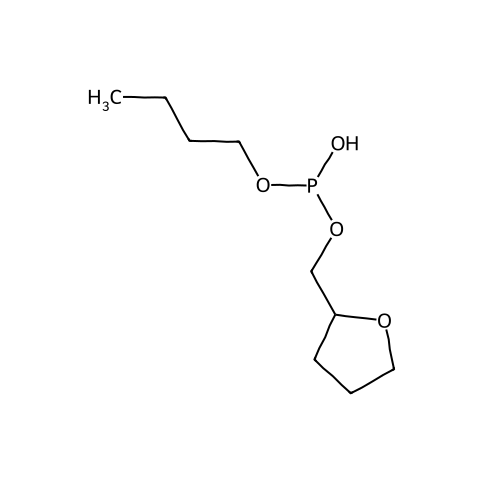 CCCCOP(O)OCC1CCCO1